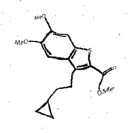 COC(=O)c1sc2cc(OC)c(OC)cc2c1CCC1CC1